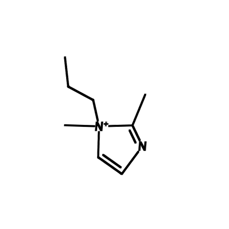 CCC[N+]1(C)C=CN=C1C